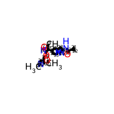 COC1(COc2noc(C)c2-c2ccn3nc(NC(=O)C4CC4)cc3c2)CN(C)C1